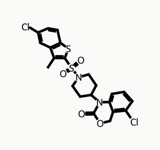 Cc1c(S(=O)(=O)N2CCC(N3C(=O)OCc4c(Cl)cccc43)CC2)sc2ccc(Cl)cc12